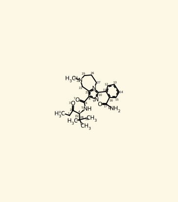 CCC(=O)[C@@H](NC(=O)c1nc(-c2ccccc2C(N)=O)n2c1CN(C)CCC2)C(C)(C)C